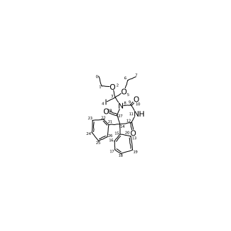 CCOC(I)(OCC)N1C(=O)NC(=O)C(c2ccccc2)(c2ccccc2)C1=O